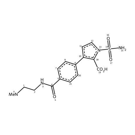 CNCCNC(=O)c1ccc(-c2ccn(S(N)(=O)=O)c2C(=O)O)cc1